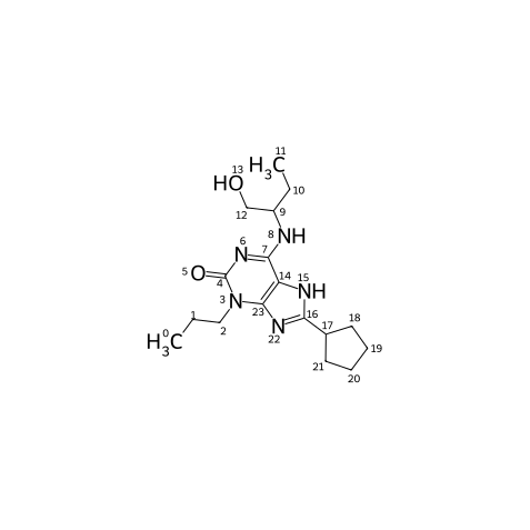 CCCn1c(=O)nc(NC(CC)CO)c2[nH]c(C3CCCC3)nc21